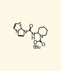 CC(C)(C)OC(=O)N1CCCCC1NC(=O)N1C=CN2C=CSC21